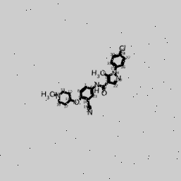 Cc1c(C(=O)Nc2ccc(OC3CCN(C)CC3)c(C#N)c2)cnn1-c1ccc(Cl)cc1